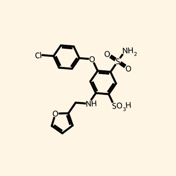 NS(=O)(=O)c1cc(S(=O)(=O)O)c(NCc2ccco2)cc1Oc1ccc(Cl)cc1